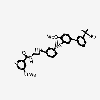 COc1cncc(C(=O)NCCNc2cccc(NSc3cc(-c4cccc(C(C)(C)N=O)c4)ccc3OC)c2)c1